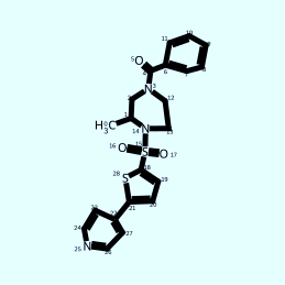 CC1CN(C(=O)c2ccccc2)CCN1S(=O)(=O)c1ccc(-c2ccncc2)s1